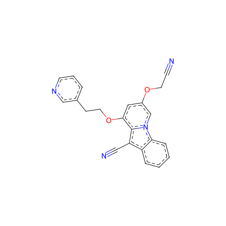 N#CCOc1cc(OCCc2cccnc2)c2c(C#N)c3ccccc3n2c1